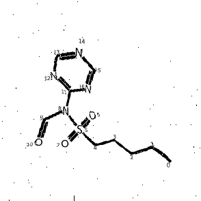 CCCCCS(=O)(=O)N(C=O)c1ncncn1